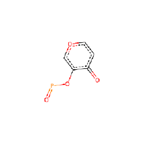 O=POc1coccc1=O